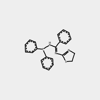 c1ccc(/C(=N\C2=NCCS2)NP(c2ccccc2)c2ccccc2)cc1